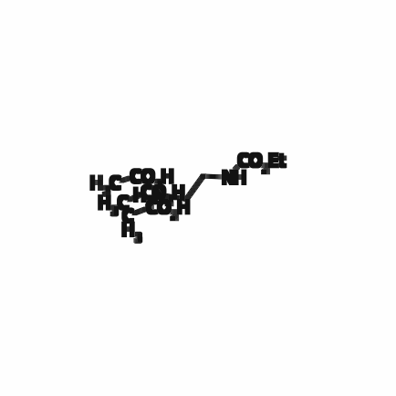 CC(=O)O.CC(=O)O.CC(=O)O.CCOC(=O)NCCN